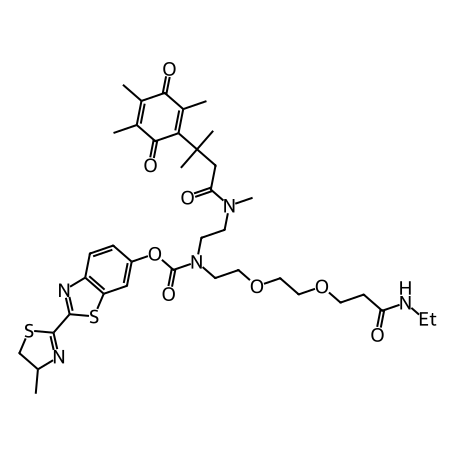 CCNC(=O)CCOCCOCCN(CCN(C)C(=O)CC(C)(C)C1=C(C)C(=O)C(C)=C(C)C1=O)C(=O)Oc1ccc2nc(C3=NC(C)CS3)sc2c1